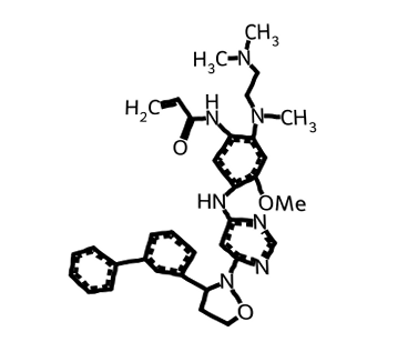 C=CC(=O)Nc1cc(Nc2cc(N3OCCC3c3cccc(-c4ccccc4)c3)ncn2)c(OC)cc1N(C)CCN(C)C